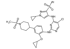 CC(C)S(=O)(=O)c1nn(C2CC2)cc1Nc1nc(Nc2ccc(C3CCN(S(C)(=O)=O)CC3)cc2OC2CC2)ncc1Cl